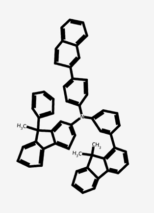 CC1(C)c2ccccc2-c2cccc(-c3cccc(N(c4ccc(-c5ccc6ccccc6c5)cc4)c4ccc5c(c4)C(C)(c4ccccc4)c4ccccc4-5)c3)c21